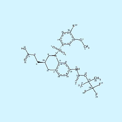 COc1cc(S(=O)(=O)N2C[C@H](CCC(=O)O)Cc3ccc(NC(=O)OC(C)(C)C(F)(F)F)cc32)ccc1F